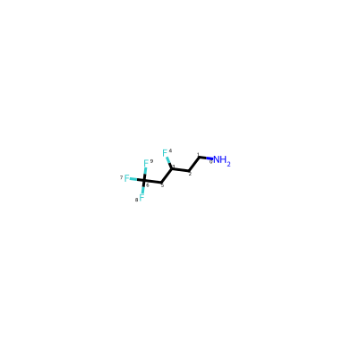 NCCC(F)CC(F)(F)F